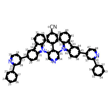 N#Cc1ccc(-c2c(-n3c4ccccc4c4cc(-c5ccnc(-c6ccccc6)c5)ccc43)cncc2-n2c3ccccc3c3cc(-c4ccnc(-c5ccccc5)c4)ccc32)cc1